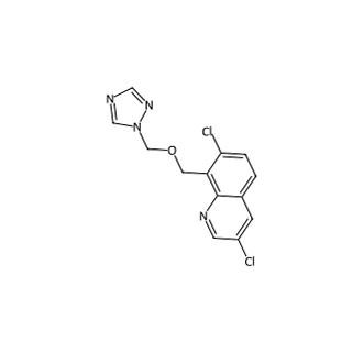 Clc1cnc2c(COCn3cncn3)c(Cl)ccc2c1